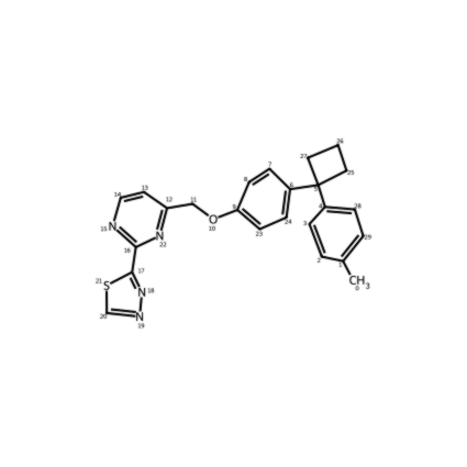 Cc1ccc(C2(c3ccc(OCc4ccnc(-c5nncs5)n4)cc3)CCC2)cc1